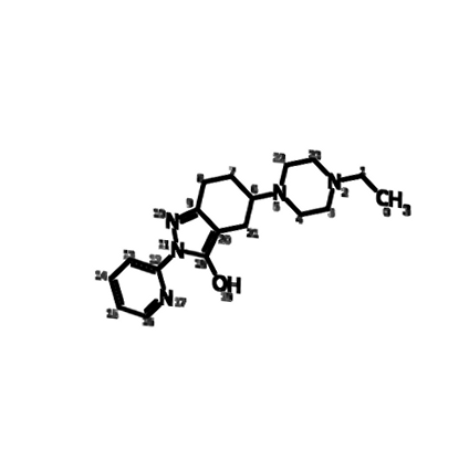 CCN1CCN(C2CCc3nn(-c4ccccn4)c(O)c3C2)CC1